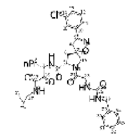 CCC[C@H](NC(=O)[C@@H]1C[C@]2(CC(c3cccc(Cl)c3)=NO2)CN1C(=O)CNC(=O)NCc1ccccc1)C(=O)C(=O)NC1CC1